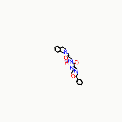 O=C(NC[C@H](O)CN1CCc2ccccc2C1)c1cn2c(n1)COC(c1ccccc1)C2